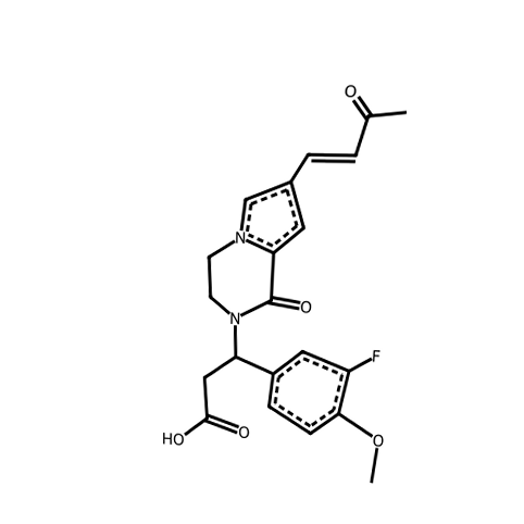 COc1ccc(C(CC(=O)O)N2CCn3cc(/C=C/C(C)=O)cc3C2=O)cc1F